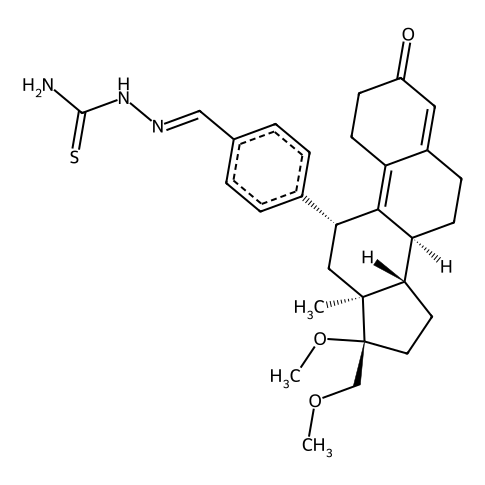 COC[C@]1(OC)CC[C@H]2[C@@H]3CCC4=CC(=O)CCC4=C3[C@@H](c3ccc(/C=N/NC(N)=S)cc3)C[C@@]21C